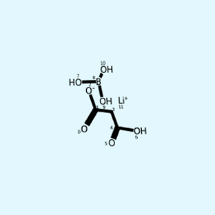 O=C([O-])CC(=O)O.OB(O)O.[Li+]